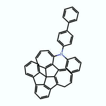 C1=CCC2=C3C(=C1)C1=C(CC=CC=C1N(c1ccccc1)c1ccc(-c4ccccc4)cc1)C31c3ccccc3-c3cccc2c31